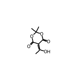 CC(O)=C1C(=O)OC(C)(C)OC1=O